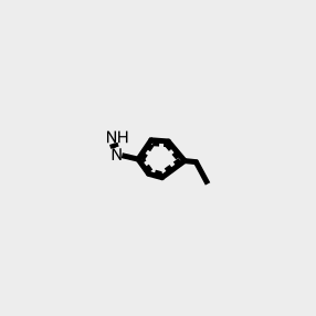 CCc1ccc(N=N)cc1